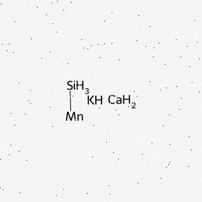 [CaH2].[KH].[SiH3][Mn]